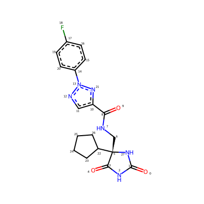 O=C1NC(=O)[C@](CNC(=O)c2cnn(-c3ccc(F)cc3)n2)(C2CCCC2)N1